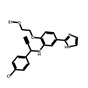 C#CC(Nc1cc(-c2ncc[nH]2)ccc1OCCOCC)c1ccc(Cl)cc1